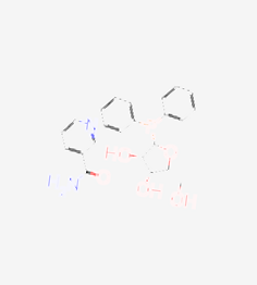 NC(=O)c1cccnc1.OC[C@H]1OC(P(c2ccccc2)c2ccccc2)[C@H](O)[C@@H]1O